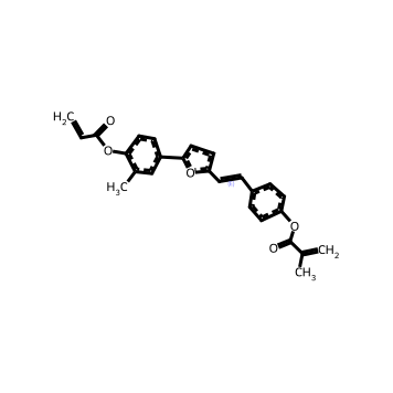 C=CC(=O)Oc1ccc(-c2ccc(/C=C/c3ccc(OC(=O)C(=C)C)cc3)o2)cc1C